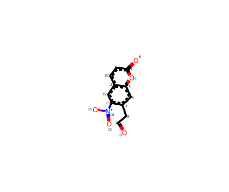 O=CCc1cc2oc(=O)ccc2cc1[N+](=O)[O-]